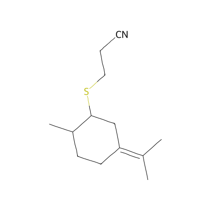 CC(C)=C1CCC(C)C(SCCC#N)C1